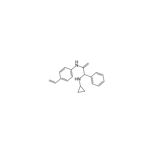 C=Cc1ccc(NC(=C)C(NC2CC2)c2ccccc2)cc1